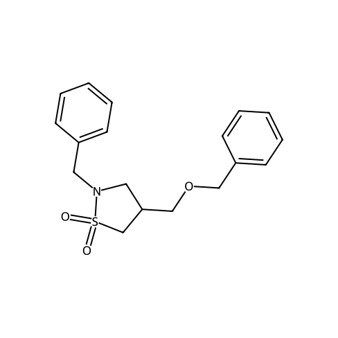 O=S1(=O)CC(COCc2ccccc2)CN1Cc1ccccc1